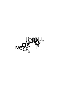 N#Cc1ccc(NC(=O)[C@@H](O)CN(N)c2cc(F)ccc2N)cc1C(F)(F)F